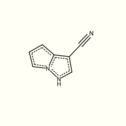 N#Cc1c[nH]n2cccc12